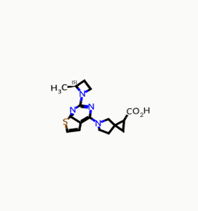 C[C@H]1CCN1c1nc(N2CCC3(CC3C(=O)O)C2)c2ccsc2n1